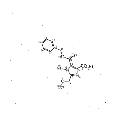 CCOCc1nc(C(=O)OCC)c(C(=O)OCc2ccccc2)n1CC